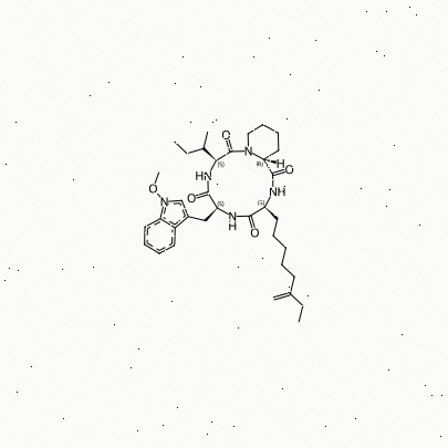 C=C(CC)CCCCC[C@@H]1NC(=O)[C@H]2CCCCN2C(=O)[C@H](C(C)CC)NC(=O)[C@H](Cc2cn(OC)c3ccccc23)NC1=O